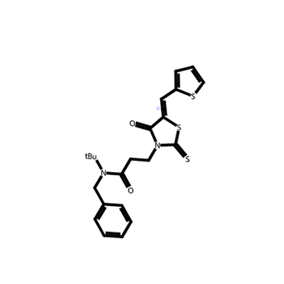 CC(C)(C)N(Cc1ccccc1)C(=O)CCN1C(=O)/C(=C/c2cccs2)SC1=S